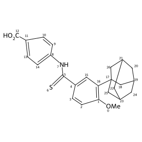 COc1ccc(C(=S)Nc2ccc(C(=O)O)cc2)cc1C12CC3CC(CC(C3)C1)C2